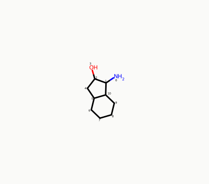 NC1C(O)CC2CCCCC21